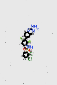 Nc1ncc2cc(-c3c(F)ccc(NS(=O)(=O)c4cccc(Cl)c4Cl)c3F)ccc2n1